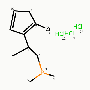 CC(CP(C)C)C1=[C]([Zr])CC=C1.Cl.Cl.Cl